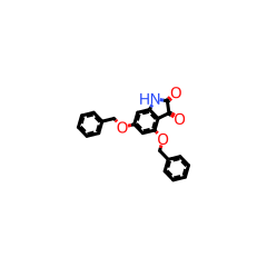 O=C1Nc2cc(OCc3ccccc3)cc(OCc3ccccc3)c2C1=O